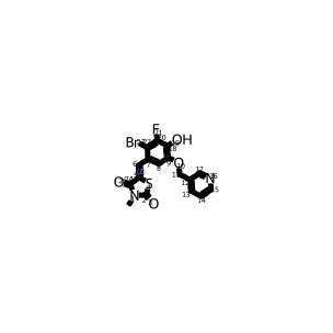 CN1C(=O)S/C(=C\c2cc(OCc3cccnc3)c(O)c(F)c2Br)C1=O